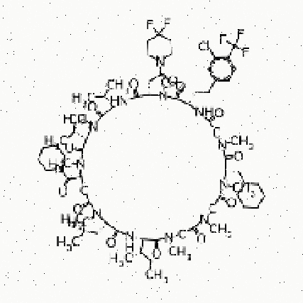 CC[C@H](C)[C@@H]1NC(=O)[C@H](CC(C)C)N(C)C(=O)C[C@@H](C(=O)N2CCCCC2)N(C)C(=O)[C@H](C(C)C)N(C)C(=O)[C@H](C(C)C)NC(=O)[C@H](CC(=O)N2CCC(F)(F)CC2)N(C)C(=O)[C@H](CCc2ccc(C(F)(F)F)c(Cl)c2)NC(=O)CN(C)C(=O)[C@H](CC2CCCCC2)N(C)C(=O)CN(C)C(=O)CN(C)C1=O